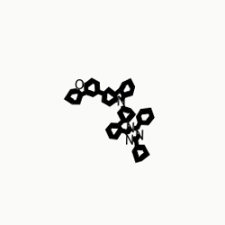 c1ccc(-c2nc(-c3ccccc3)nc(-c3ccccc3-c3cccc(-n4c5ccccc5c5cc(-c6ccc7oc8ccccc8c7c6)ccc54)c3)n2)cc1